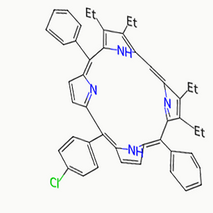 CCC1=C(CC)c2nc1cc1[nH]c(c(CC)c1CC)c(-c1ccccc1)c1nc(c(-c3ccc(Cl)cc3)c3ccc([nH]3)c2-c2ccccc2)C=C1